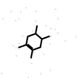 [CH]C1CC(C)=C(C)CC1C